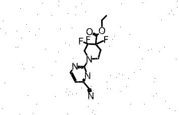 CCOC(=O)C1(F)CCN(c2nccc(C#N)n2)CC1(F)F